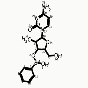 CC1C(OB(O)c2ccccc2)C(CO)OC1n1ccc(N)nc1=O